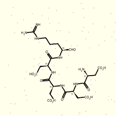 N=C(N)NCCC[C@@H](C=O)NC(=O)[C@H](CC(=O)O)NC(=O)[C@H](CC(=O)O)NC(=O)[C@H](CC(=O)O)NC(=O)[C@@H](N)CC(=O)O